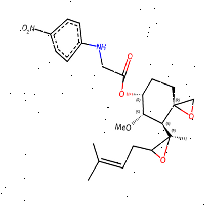 CO[C@@H]1[C@H](OC(=O)CNc2ccc([N+](=O)[O-])cc2)CC[C@]2(CO2)[C@H]1[C@@]1(C)OC1CC=C(C)C